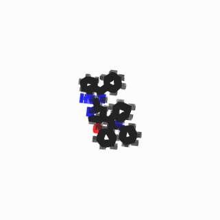 C1=CC2=C(CC1)NC(c1cc3c(cn1)Oc1ccccc1-c1c-3c3ccccc3n1-c1ccccc1)N=C2c1ccccc1